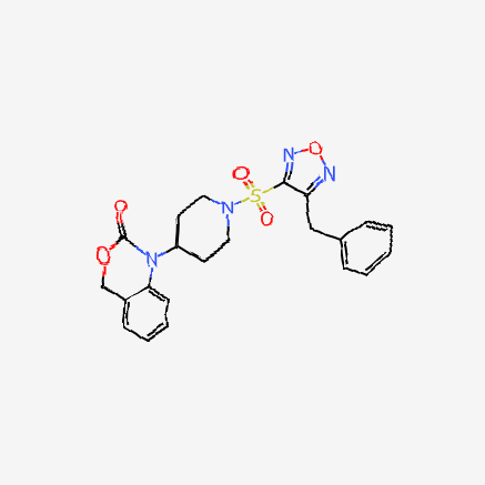 O=C1OCc2ccccc2N1C1CCN(S(=O)(=O)c2nonc2Cc2ccccc2)CC1